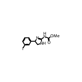 COC(=O)NC1=NC(c2cccc(I)c2)CN1